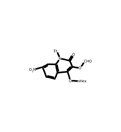 CCCCCCOc1c(OC=O)c(=O)n(CC)c2cc([N+](=O)[O-])ccc12